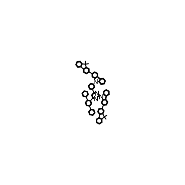 CC1(C)c2ccccc2-c2ccc(-c3ccc4c5ccccc5n(-c5cccc(-c6cc(-c7cc(-c8ccccc8)ccc7-c7ccccc7)nc(-n7c8ccccc8c8ccc(-c9ccc%10c(c9)C(C)(C)c9ccccc9-%10)cc87)n6)c5)c4c3)cc21